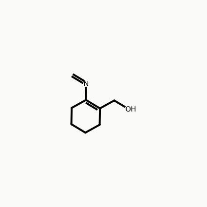 C=NC1=C(CO)CCCC1